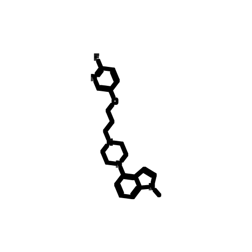 Cn1ccc2c(N3CCN(CCCOc4ccc(F)nc4)CC3)cccc21